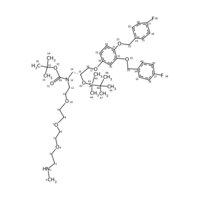 CNCCOCCOCCOCCN(C[C@H](COc1ccc(OCc2ccc(F)cc2)c(OCc2ccc(F)cc2)c1)O[Si](C)(C)C(C)(C)C)C(=O)OC(C)(C)C